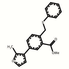 COC(=O)c1cc(-c2ccoc2C)ccc1CSc1ccccc1